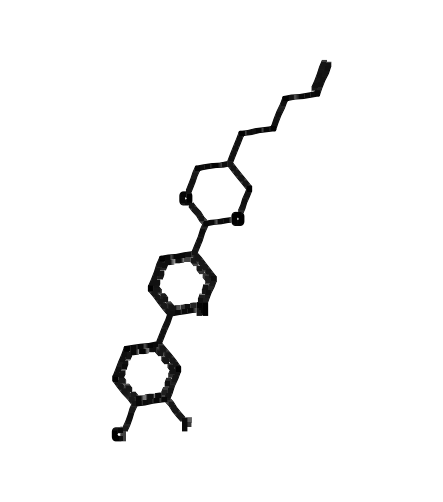 C=CCCCC1COC(c2ccc(-c3ccc(Cl)c(F)c3)nc2)OC1